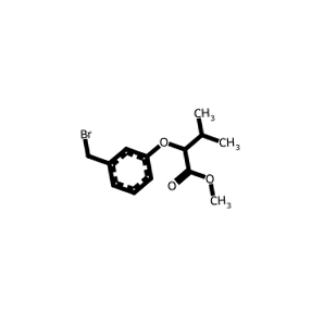 COC(=O)C(Oc1cccc(CBr)c1)C(C)C